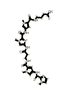 Cn1cc(NC(=O)c2nc(NC(=O)CCNC(=O)c3cc(NC(=O)c4nccn4C)cn3C)cn2C)cc1C(=O)NCCCC(=O)O